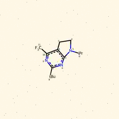 CC(C)N1CCc2c1nc(C(C)(C)C)nc2C(F)(F)F